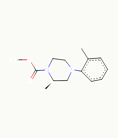 Cc1ccccc1N1CCN(C(=O)OC(C)(C)C)[C@H](C)C1